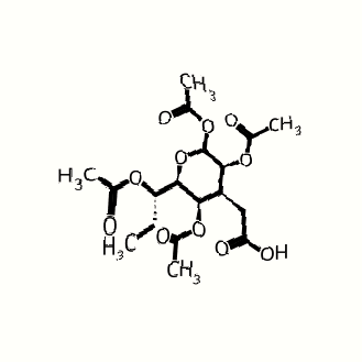 CC[C@H](OC(C)=O)[C@H]1OC(OC(C)=O)[C@@H](OC(C)=O)[C@@H](CC(=O)O)[C@H]1OC(C)=O